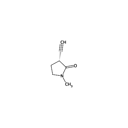 C#C[C@H]1CCN(C)C1=O